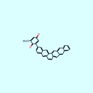 COC1=CC(=O)C=C(c2ccc3cc4ccc5cc6cc7ccccc7cc6cc5c4cc3c2)C1=O